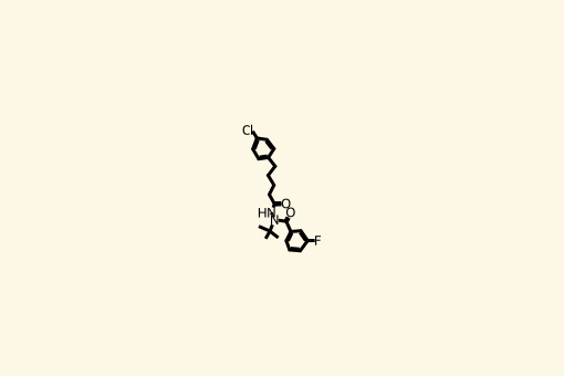 CC(C)(C)N(NC(=O)CCCCc1ccc(Cl)cc1)C(=O)c1cccc(F)c1